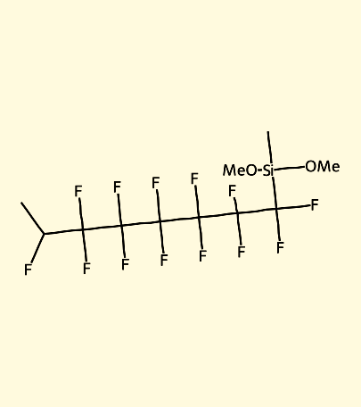 CO[Si](C)(OC)C(F)(F)C(F)(F)C(F)(F)C(F)(F)C(F)(F)C(F)(F)C(C)F